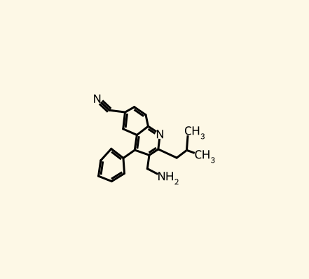 CC(C)Cc1nc2ccc(C#N)cc2c(-c2ccccc2)c1CN